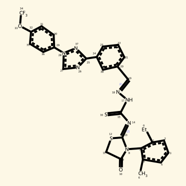 CCc1cccc(C)c1N1C(=O)CS/C1=N\C(=S)N/N=C/c1cccc(-c2ncn(-c3ccc(OC(F)(F)F)cc3)n2)c1